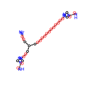 CNC(=O)CCCCC(=O)N1Cc2ccccc2-c2nnn(CCOCCOCCOCCOCCOCCOCCOCCOCCOCCOCCOCCOCc3ccc(C#Cc4cc(C#Cc5ccc(COCCOCCN=[N+]=[N-])cc5)cc(C#Cc5ccc(COCCOCCn6nnc7c6-c6ccccc6N(C(=O)CCCCC(=O)NC)Cc6ccccc6-7)cc5)c4)cc3)c2-c2ccccc21